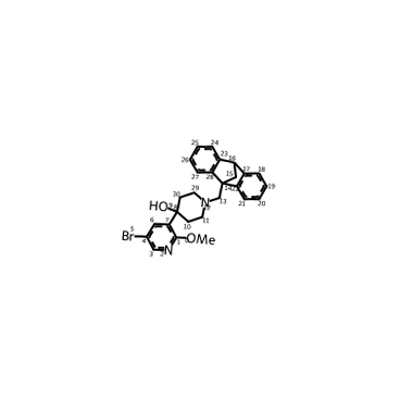 COc1ncc(Br)cc1C1(O)CCN(CC23CC(c4ccccc42)c2ccccc23)CC1